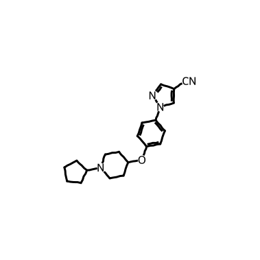 N#Cc1cnn(-c2ccc(OC3CCN(C4CCCC4)CC3)cc2)c1